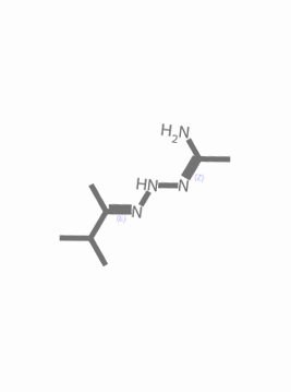 C/C(N)=N/N/N=C(\C)C(C)C